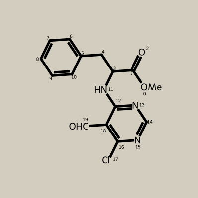 COC(=O)C(Cc1ccccc1)Nc1ncnc(Cl)c1C=O